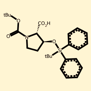 CC(C)(C)OC(=O)N1CC[C@H](O[Si](c2ccccc2)(c2ccccc2)C(C)(C)C)[C@H]1C(=O)O